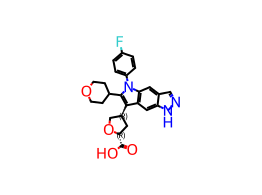 O=C(O)[C@H]1C[C@H](c2c(C3CCOCC3)n(-c3ccc(F)cc3)c3cc4cn[nH]c4cc23)CO1